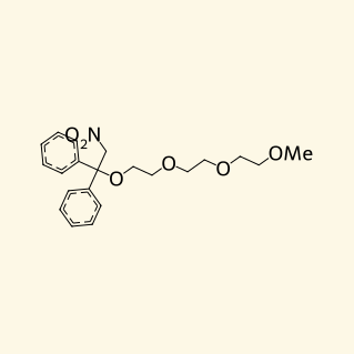 COCCOCCOCCOC(C[N+](=O)[O-])(c1ccccc1)c1ccccc1